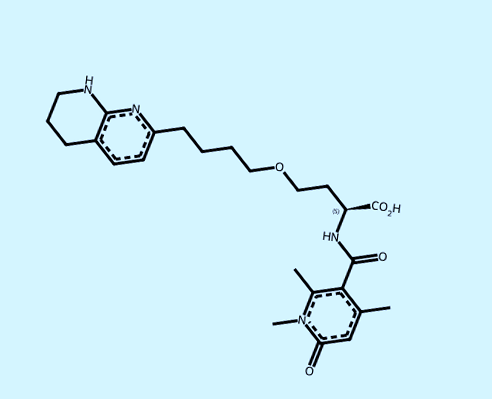 Cc1cc(=O)n(C)c(C)c1C(=O)N[C@@H](CCOCCCCc1ccc2c(n1)NCCC2)C(=O)O